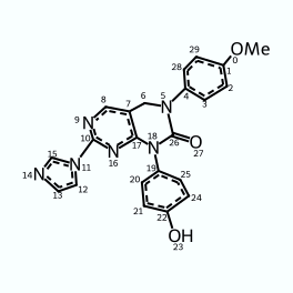 COc1ccc(N2Cc3cnc(-n4ccnc4)nc3N(c3ccc(O)cc3)C2=O)cc1